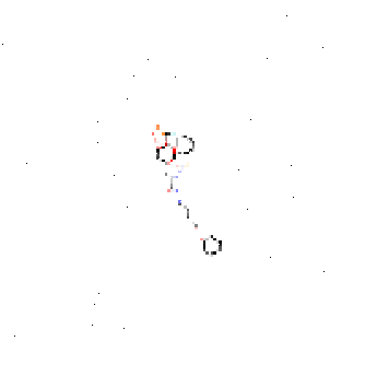 O=C(NCCCCOc1ccccc1)C(Cc1ccc(C(F)(F)P(=O)(O)O)cc1)NS(=O)(=O)c1ccccc1